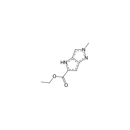 CCOC(=O)c1cc2nn(C)cc2[nH]1